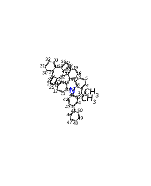 CC1(C)c2ccccc2N(c2cccc3c2-c2ccccc2C32c3ccccc3-c3ccccc3-c3ccccc32)c2ccc(-c3ccccc3)cc21